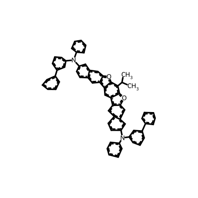 CC(C)c1c2oc3cc4cc(N(c5ccccc5)c5cccc(-c6ccccc6)c5)ccc4cc3c2cc2c1oc1cc3cc(N(c4ccccc4)c4cccc(-c5ccccc5)c4)ccc3cc12